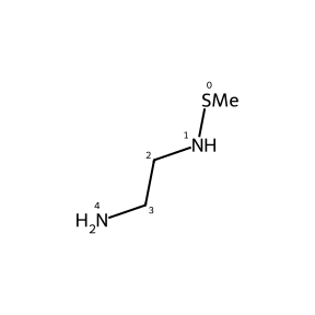 CSNCCN